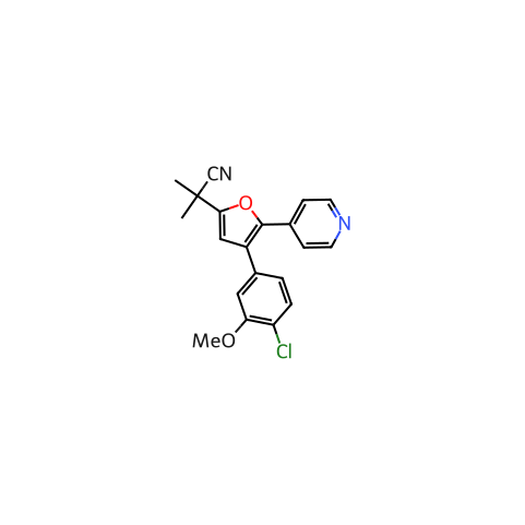 COc1cc(-c2cc(C(C)(C)C#N)oc2-c2ccncc2)ccc1Cl